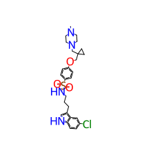 CN1CCN(CC2(COc3ccc(S(=O)(=O)NCCCc4c[nH]c5ccc(Cl)cc45)cc3)CC2)CC1